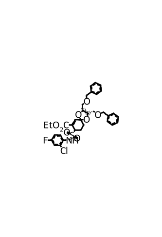 CCOC(=O)C1=CC2(CCC1S(=O)(=O)Nc1ccc(F)cc1Cl)O[C@@H](COCc1ccccc1)[C@H](COCc1ccccc1)O2